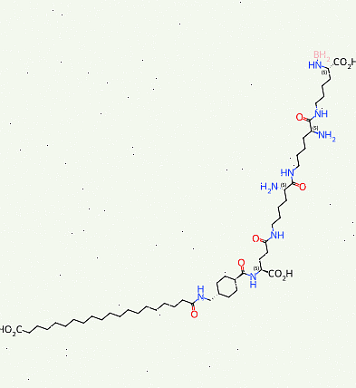 BN[C@@H](CCCCNC(=O)[C@@H](N)CCCCNC(=O)[C@@H](N)CCCCNC(=O)CC[C@H](NC(=O)[C@H]1CC[C@H](CNC(=O)CCCCCCCCCCCCCCCCCCC(=O)O)CC1)C(=O)O)C(=O)O